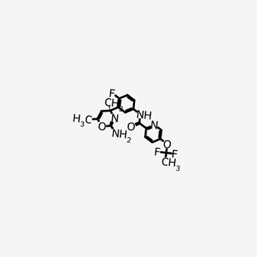 CC1=C[C@@](C)(c2cc(NC(=O)c3ccc(OC(C)(F)F)cn3)ccc2F)N=C(N)O1